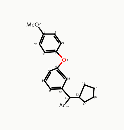 COc1ccc(Oc2cccc(C(C(C)=O)C3CCCC3)c2)cc1